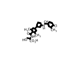 Cc1cc(C(C)Nc2cccc(-c3cc(C)c(C(=O)NC(CO)C(=O)O)c(C)c3)c2)ccc1Cl